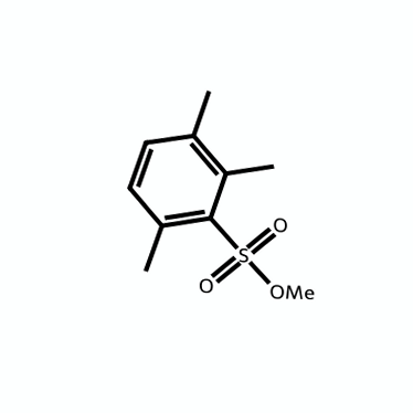 COS(=O)(=O)c1c(C)ccc(C)c1C